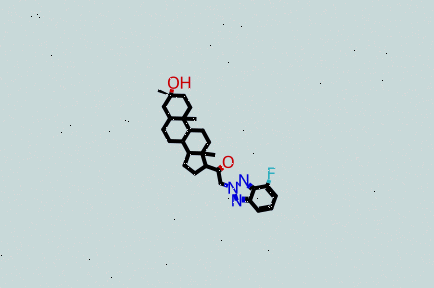 CC12CC[C@@](C)(O)CC1CCC1C2CCC2(C)C(C(=O)Cn3nc4cccc(F)c4n3)CCC12